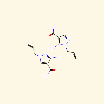 C=CCn1cc(C(N)=O)c(N)n1.C=CCn1ncc(C(N)=O)c1N